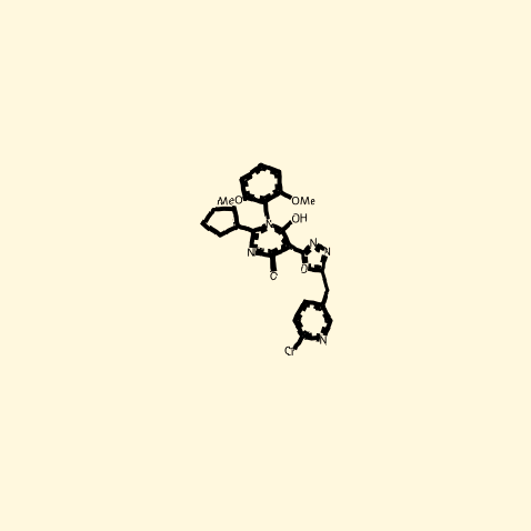 COc1cccc(OC)c1-n1c(C2CCCC2)nc(=O)c(-c2nnc(Cc3ccc(Cl)nc3)o2)c1O